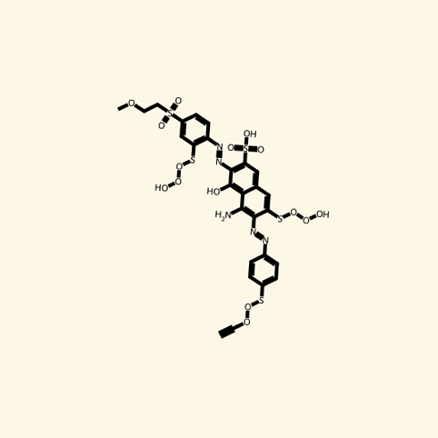 C#COOSc1ccc(N=Nc2c(SOOO)cc3cc(S(=O)(=O)O)c(N=Nc4ccc(S(=O)(=O)CCOC)cc4SOOO)c(O)c3c2N)cc1